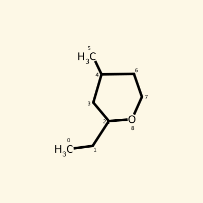 CC[C]1CC(C)CCO1